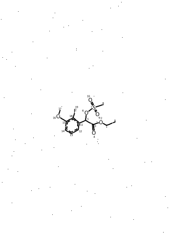 CCOC(=O)C(OS(C)(=O)=O)c1cccc(OC)c1F